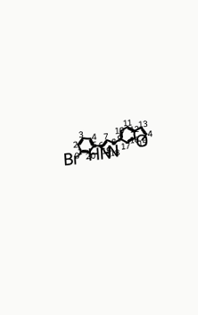 Brc1cccc(-c2cc(-c3ccc4ccoc4c3)n[nH]2)c1